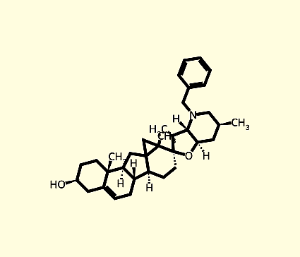 C[C@H]1C[C@H]2O[C@]3(CC[C@H]4[C@@H]5CC=C6C[C@@H](O)CC[C@]6(C)[C@H]5CC45CC53C)[C@H](C)[C@@H]2N(Cc2ccccc2)C1